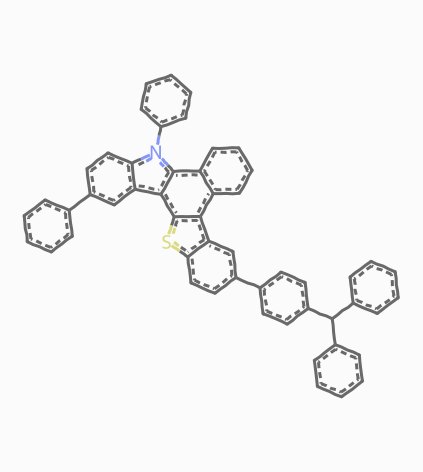 c1ccc(-c2ccc3c(c2)c2c4sc5ccc(-c6ccc(C(c7ccccc7)c7ccccc7)cc6)cc5c4c4ccccc4c2n3-c2ccccc2)cc1